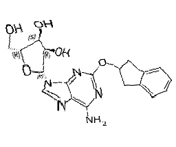 Nc1nc(OC2Cc3ccccc3C2)nc2c1ncn2[C@@H]1O[C@H](CO)[C@@H](O)[C@H]1O